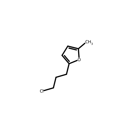 Cc1ccc(CCCCl)o1